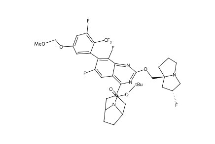 COCOc1cc(F)c(C(F)(F)F)c(-c2c(F)cc3c(N4CC5CCC(C4)N5C(=O)OC(C)(C)C)nc(OC[C@@]45CCCN4C[C@H](F)C5)nc3c2F)c1